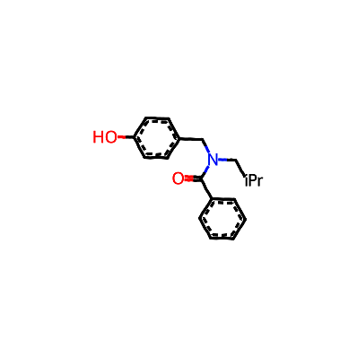 CC(C)CN(Cc1ccc(O)cc1)C(=O)c1ccccc1